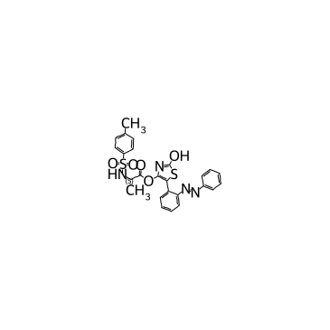 Cc1ccc(S(=O)(=O)N[C@@H](C)C(=O)Oc2nc(O)sc2-c2ccccc2N=Nc2ccccc2)cc1